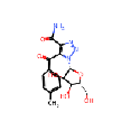 Cc1ccc(C(=O)c2c(C(N)=O)nnn2[C@@H]2O[C@H](CO)[C@@H](O)[C@H]2O)cc1